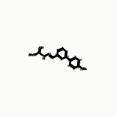 CNC(=N)N/N=C/c1cccc(-c2ccc(C(C)(C)C)cc2)c1